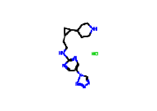 Cl.c1nc(NCC[C@@H]2C[C@H]2C2CCNCC2)ncc1-n1cnnn1